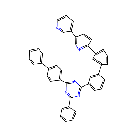 c1ccc(-c2ccc(-c3nc(-c4ccccc4)nc(-c4cccc(-c5cccc(-c6ccc(-c7cccnc7)cn6)c5)c4)n3)cc2)cc1